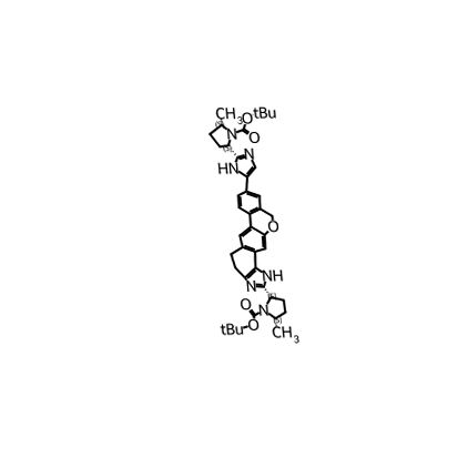 C[C@H]1CC[C@@H](c2ncc(-c3ccc4c(c3)COc3cc5c(cc3-4)CCc3nc([C@@H]4CC[C@H](C)N4C(=O)OC(C)(C)C)[nH]c3-5)[nH]2)N1C(=O)OC(C)(C)C